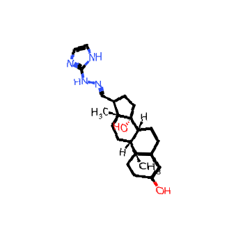 C[C@]12CCC(O)CC1CC[C@@H]1[C@H]2CC[C@]2(C)C(/C=N/Nc3ncc[nH]3)CC[C@@]12O